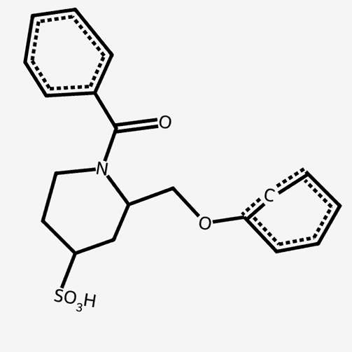 O=C(c1ccccc1)N1CCC(S(=O)(=O)O)CC1COc1ccccc1